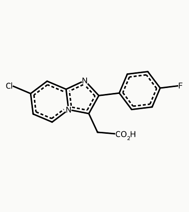 O=C(O)Cc1c(-c2ccc(F)cc2)nc2cc(Cl)ccn12